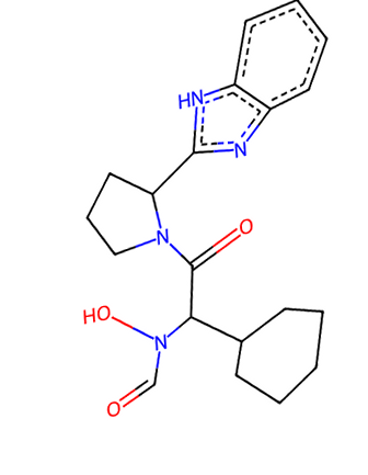 O=CN(O)C(C(=O)N1CCCC1c1nc2ccccc2[nH]1)C1CCCCC1